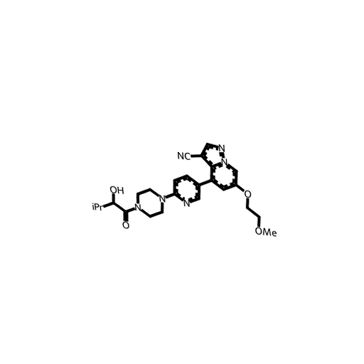 COCCOc1cc(-c2ccc(N3CCN(C(=O)C(O)C(C)C)CC3)nc2)c2c(C#N)cnn2c1